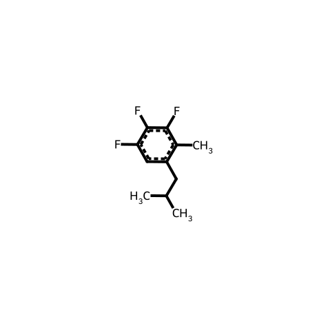 Cc1c(CC(C)C)cc(F)c(F)c1F